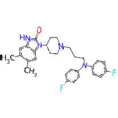 Cc1cc2[nH]c(=O)n(C3CCN(CCCN(c4ccc(F)cc4)c4ccc(F)cc4)CC3)c2cc1C